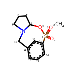 C.O=S1(=O)OC2CCCN2Cc2cccc1c2